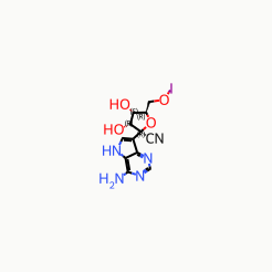 N#C[C@@]1(c2c[nH]c3c(N)ncnc23)O[C@H](COI)[C@@H](O)[C@H]1O